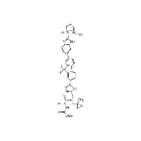 COC(=O)NC(C(=O)N(Cc1ncc(-c2ccc3c(c2)C(F)(F)c2cc(-c4ccc5nc(C6[C@H]7CCC(C7)N6C)[nH]c5c4)ccc2-3)[nH]1)CC1(C)CC1)C(C)C